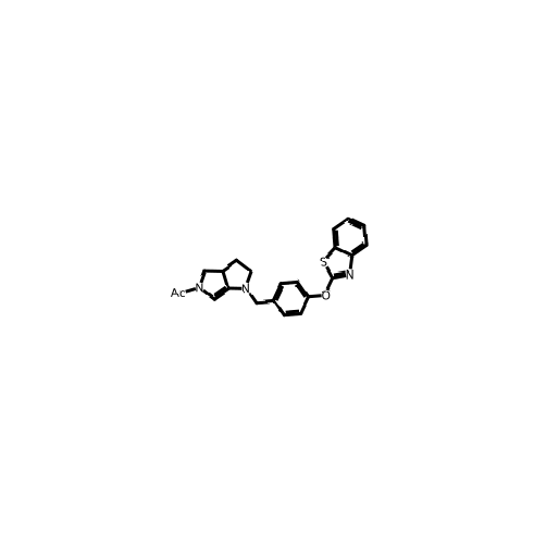 CC(=O)N1C=C2C(CCN2Cc2ccc(Oc3nc4ccccc4s3)cc2)C1